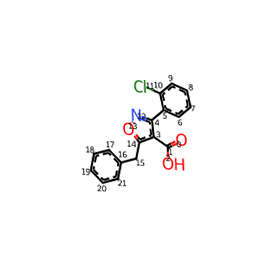 O=C(O)c1c(-c2ccccc2Cl)noc1Cc1ccccc1